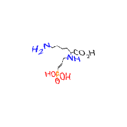 NCCCC[C@H](NCC=CP(=O)(O)O)C(=O)O